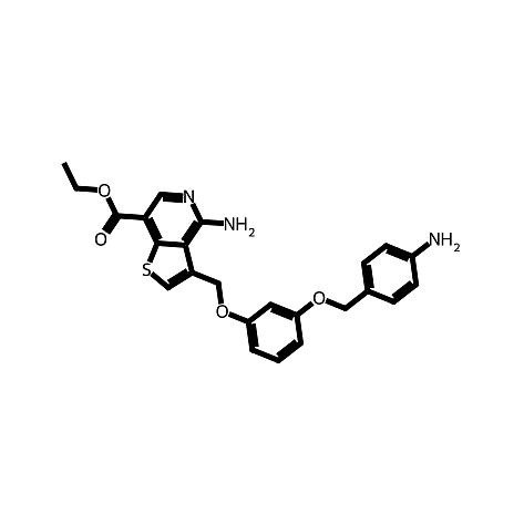 CCOC(=O)c1cnc(N)c2c(COc3cccc(OCc4ccc(N)cc4)c3)csc12